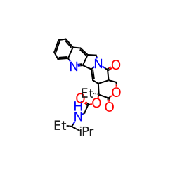 CCC(NCC(=O)O[C@]1(CC)C(=O)OCC2C(=O)N3Cc4cc5ccccc5nc4C3=CC21)C(C)C